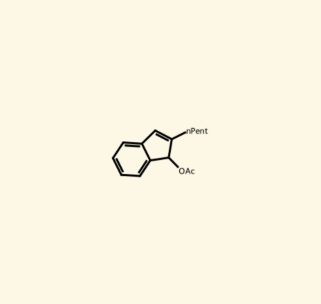 CCCCCC1=Cc2ccccc2C1OC(C)=O